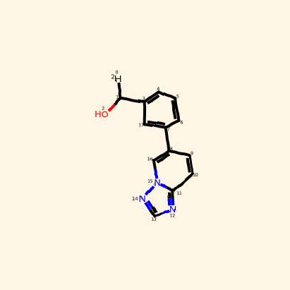 [2H]C(O)c1cccc(-c2ccc3ncnn3c2)c1